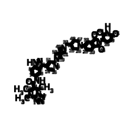 CC1=C(C(=O)Nc2ccc3[nH]nc(-c4ccnc(N5CC6(CN(CC7CCN(c8ccc9c(c8)C(=O)N(C8CCC(=O)NC8=O)C9=O)CC7)C6)C5)c4)c3c2)[C@@H](C)n2nnnc2N1C